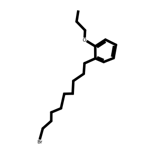 CCCOc1ccccc1CCCCCCCCCBr